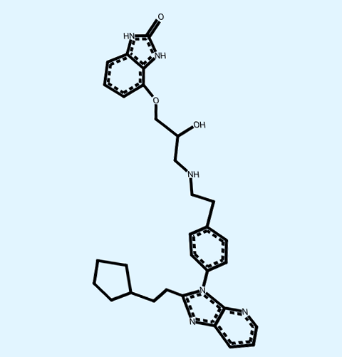 O=c1[nH]c2cccc(OCC(O)CNCCc3ccc(-n4c(CCC5CCCC5)nc5cccnc54)cc3)c2[nH]1